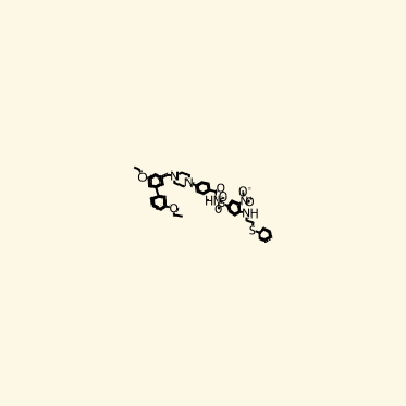 CCOc1cccc(-c2cc(CN3CCN(c4ccc(C(=O)NS(=O)(=O)c5ccc(NCCSc6ccccc6)c([N+](=O)[O-])c5)cc4)CC3)cc(OCC)c2)c1